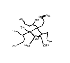 NC(C(O)CO)(C(O)CO)C(CC(=O)O)(C(O)CO)C(O)CO